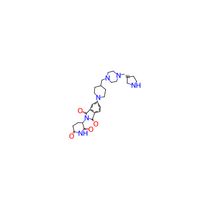 O=C1CCC(N2C(=O)c3ccc(N4CCC(CN5CCN(C[C@@H]6CCNC6)CC5)CC4)cc3C2=O)C(=O)N1